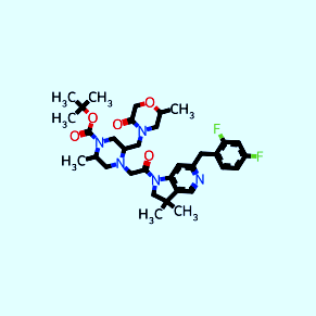 CC1CN(CC2CN(C(=O)OC(C)(C)C)C(C)CN2CC(=O)N2CC(C)(C)c3cnc(Cc4ccc(F)cc4F)cc32)C(=O)CO1